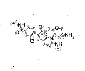 CCNc1ncc2cc(-c3ccc([S+]([O-])NC(C)C)cc3Cl)c(=O)n(CC3OCC(N)CO3)c2n1